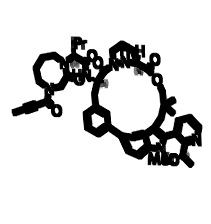 CC#CC(=O)N1CCCCN([C@H](C(=O)N[C@H]2Cc3cccc(c3)-c3ccc4c(c3)c(c(-c3cccnc3[C@H](C)OC)n4CC)CC(C)(C)COC(=O)[C@@H]3CCCN(N3)C2=O)C(C)C)C(=O)C1